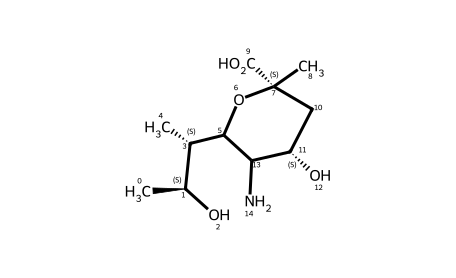 C[C@H](O)[C@H](C)C1O[C@](C)(C(=O)O)C[C@H](O)C1N